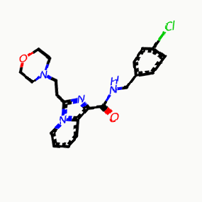 O=C(NCc1ccc(Cl)cc1)c1nc(CCN2CCOCC2)n2ccccc12